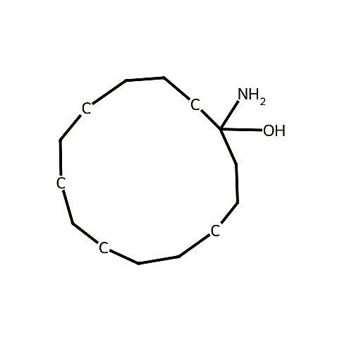 NC1(O)CCCCCCCCCCCCC1